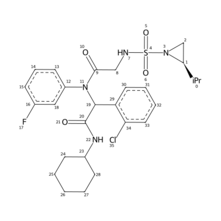 CC(C)[C@@H]1CN1S(=O)(=O)NCC(=O)N(c1cccc(F)c1)C(C(=O)NC1CCCCC1)c1ccccc1Cl